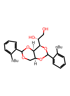 CCCCc1ccccc1C1OC[C@@H]2OC(c3ccccc3CCCC)O[C@H]([C@H](O)CO)[C@@H]2O1